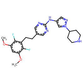 COc1cc(OC)c(F)c(CCc2cnc(Nc3cnn(C4CCNCC4)c3)nc2)c1F